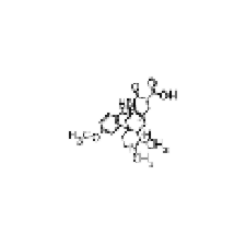 COc1ccc(C)c([C@]23CCN(C)[C@H](C)[C@@H]2Cc2cc(C(=O)O)c(=O)[nH]c2C3)c1